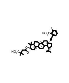 C=C(C)[C@@H]1CC[C@]2(C#Cc3cccc(F)c3C(=O)O)CC[C@]3(C)C(CCC4[C@@]5(C)CC[C@H](OC(=O)CC(C)(C)C(=O)O)C(C)(C)C5CC[C@]43C)C12